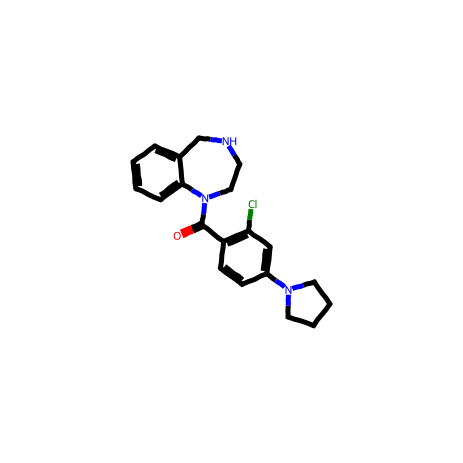 O=C(c1ccc(N2CCCC2)cc1Cl)N1CCNCc2ccccc21